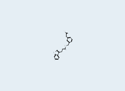 NC(=O)Cc1cccc(CNC(=O)[CH]Cc2c[nH]c3ccccc23)c1